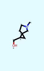 CN1CCC2(CC2CO)C1